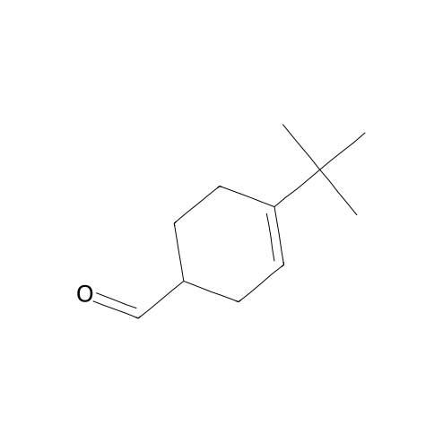 CC(C)(C)C1=CCC(C=O)CC1